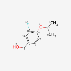 CC(C)Oc1ccc([CH]O)cc1F